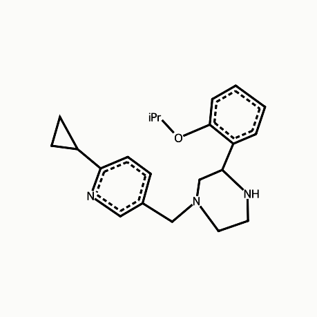 CC(C)Oc1ccccc1C1CN(Cc2ccc(C3CC3)nc2)CCN1